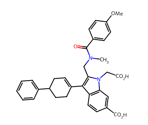 COc1ccc(C(=O)N(C)Cc2c(C3=CCC(c4ccccc4)CC3)c3ccc(C(=O)O)cc3n2CC(=O)O)cc1